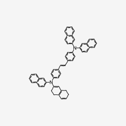 C1=CC2=C(C=C(N(c3ccc(/C=C/c4ccc(N(c5ccc6ccccc6c5)c5ccc6ccccc6c5)cc4)cc3)c3ccc4ccccc4c3)CC2)CC1